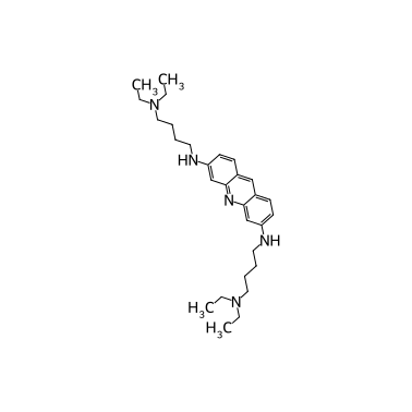 CCN(CC)CCCCNc1ccc2cc3ccc(NCCCCN(CC)CC)cc3nc2c1